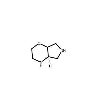 C1COC2CNC[C@H]2N1